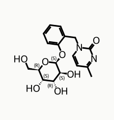 Cc1ccn(Cc2ccccc2O[C@@H]2O[C@H](CO)[C@@H](O)[C@@H](O)[C@@H]2O)c(=O)n1